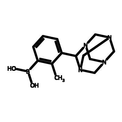 Cc1c(B(O)O)cccc1C1N2CN3CN(C2)CN1C3